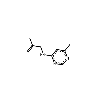 C=C(C)CNc1cc(C)ncn1